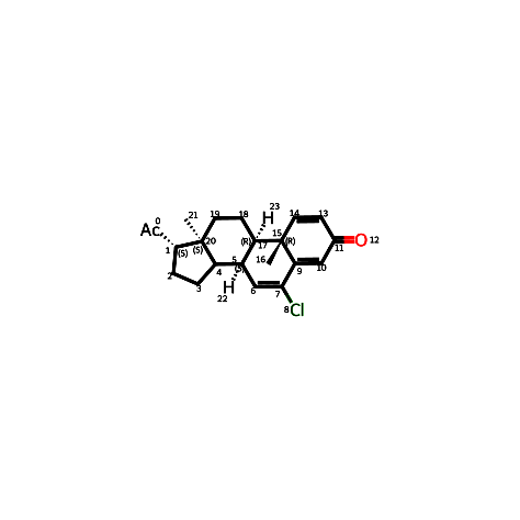 CC(=O)[C@H]1CCC2[C@@H]3C=C(Cl)C4=CC(=O)C=C[C@@]4(C)[C@@H]3CC[C@@]21C